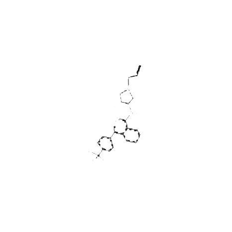 C=CCN1C[C@@H](F)[C@H](Nc2nnc(-c3ccc(C(F)(F)F)cc3)c3ccccc23)C1